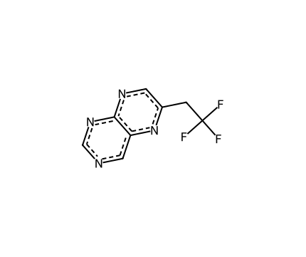 FC(F)(F)Cc1cnc2ncncc2n1